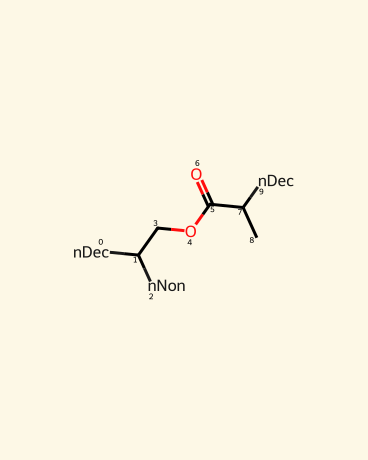 CCCCCCCCCCC(CCCCCCCCC)COC(=O)C(C)CCCCCCCCCC